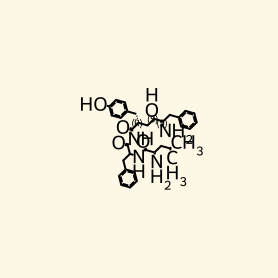 CC(C)CC(N)C(=O)NC(Cc1ccccc1)C(=O)NC(=O)[C@H](Cc1ccc(O)cc1)C[C@H](O)[C@@H](N)Cc1ccccc1